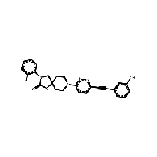 O=C1OC2(CCN(c3ccc(C#Cc4cccc(O)c4)nn3)CC2)CN1c1ccccc1F